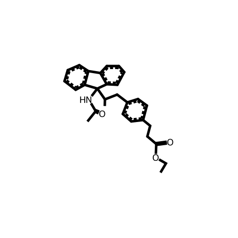 CCOC(=O)CCc1ccc(CC(C)C2(NC(C)=O)c3ccccc3-c3ccccc32)cc1